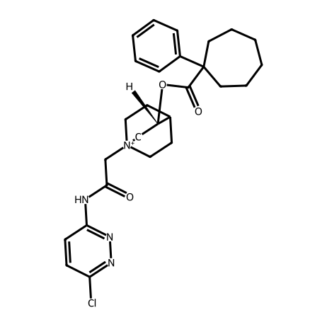 O=C(C[N+]12CCC(CC1)[C@@H](OC(=O)C1(c3ccccc3)CCCCCC1)C2)Nc1ccc(Cl)nn1